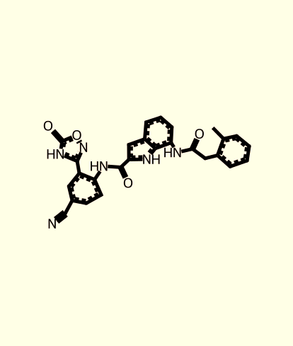 Cc1ccccc1CC(=O)Nc1cccc2cc(C(=O)Nc3ccc(C#N)cc3-c3noc(=O)[nH]3)[nH]c12